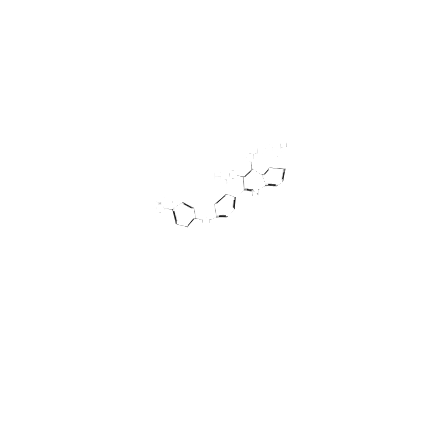 Cc1c(-c2ccc(Oc3ccc(OC(F)(F)F)cc3)cc2)nc2ccccc2c1OC(=O)O